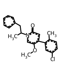 COc1cn(C(C)Cc2ccccc2)c(=O)cc1-c1cc(Cl)ccc1C